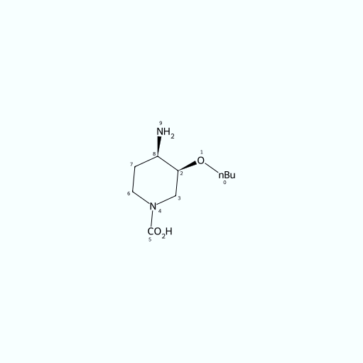 CCCCO[C@H]1CN(C(=O)O)CC[C@H]1N